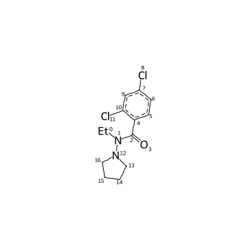 CCN(C(=O)c1ccc(Cl)cc1Cl)N1CCCC1